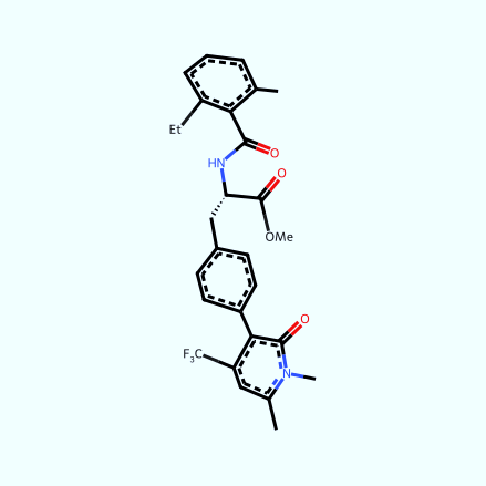 CCc1cccc(C)c1C(=O)N[C@@H](Cc1ccc(-c2c(C(F)(F)F)cc(C)n(C)c2=O)cc1)C(=O)OC